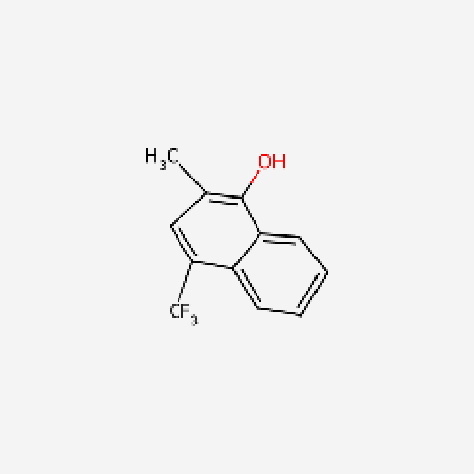 Cc1cc(C(F)(F)F)c2ccccc2c1O